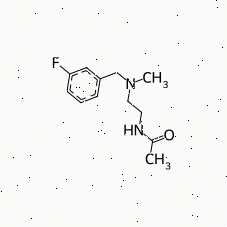 CC(=O)NCCN(C)Cc1cccc(F)c1